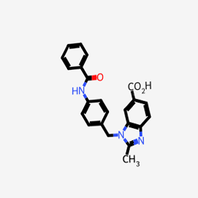 Cc1nc2ccc(C(=O)O)cc2n1Cc1ccc(NC(=O)c2ccccc2)cc1